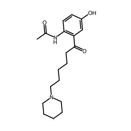 CC(=O)Nc1ccc(O)cc1C(=O)CCCCCN1CC[CH]CC1